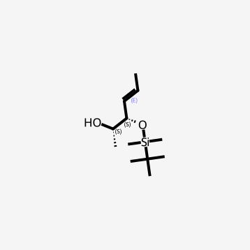 C/C=C/[C@H](O[Si](C)(C)C(C)(C)C)[C@H](C)O